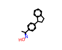 CC(=NO)c1ccc(C2CCc3ccccc32)cc1